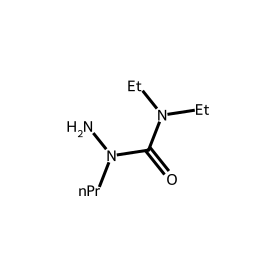 CCCN(N)C(=O)N(CC)CC